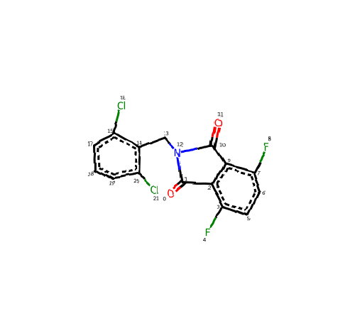 O=C1c2c(F)ccc(F)c2C(=O)N1Cc1c(Cl)cccc1Cl